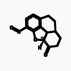 O=Nc1ccc2c3c1O[C@@H]1C(=O)CCC(CC2)C31